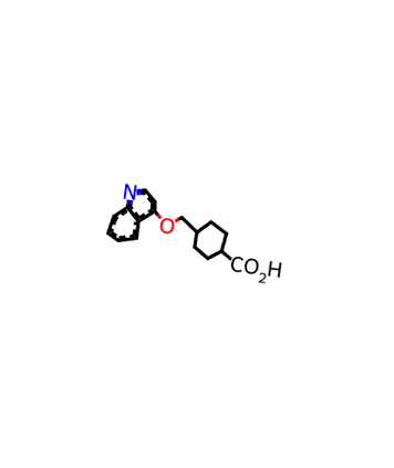 O=C(O)C1CCC(COc2ccnc3ccccc23)CC1